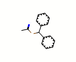 CC(=N)SC(c1ccccc1)c1ccccc1